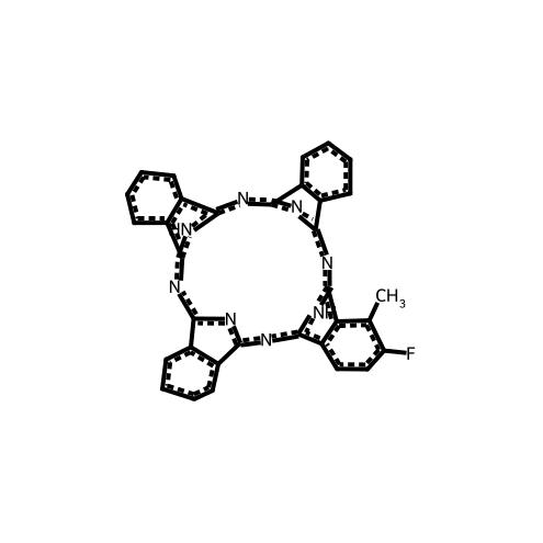 Cc1c(F)ccc2c3nc4nc(nc5[nH]c(nc6nc(nc([nH]3)c12)-c1ccccc1-6)c1ccccc51)-c1ccccc1-4